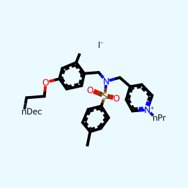 CCCCCCCCCCCCOc1ccc(CN(Cc2cc[n+](CCC)cc2)S(=O)(=O)c2ccc(C)cc2)c(C)c1.[I-]